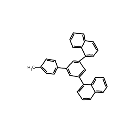 Cc1ccc(-c2cc(-c3cccc4ccccc34)cc(-c3cccc4ccccc34)c2)cc1